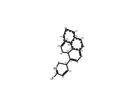 FC1=NCC(C2=CC=c3ccc4cccc5c4c3C2CC=5)C=C1